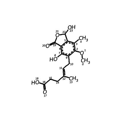 COc1c(C)c2c(c(O)c1C/C=C(\C)CCC(=O)O)C(=O)OC2O